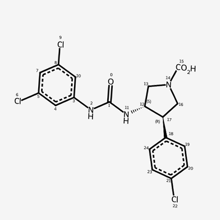 O=C(Nc1cc(Cl)cc(Cl)c1)N[C@@H]1CN(C(=O)O)C[C@H]1c1ccc(Cl)cc1